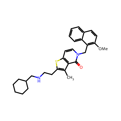 COc1ccc2ccccc2c1Cn1ccc2sc(CCNCC3CCCCC3)c(C)c2c1=O